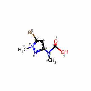 CN(C(=O)O)c1cc(Br)n(C)n1